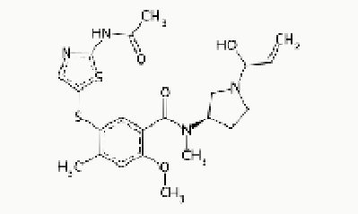 C=CC(O)N1CC[C@@H](N(C)C(=O)c2cc(Sc3cnc(NC(C)=O)s3)c(C)cc2OC)C1